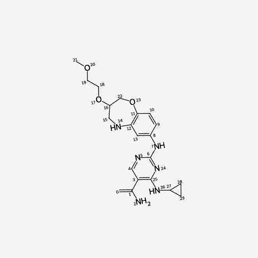 C=C(N)c1cnc(Nc2ccc3c(c2)NCC(OCCOC)CO3)nc1NC1CC1